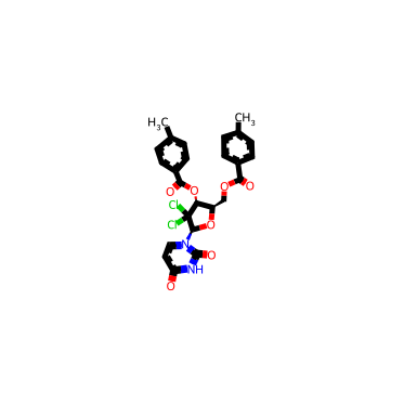 Cc1ccc(C(=O)OC[C@H]2O[C@@H](n3ccc(=O)[nH]c3=O)C(Cl)(Cl)[C@@H]2OC(=O)c2ccc(C)cc2)cc1